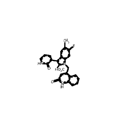 Cc1cc2c(-c3ccc[nH]c3=O)c(C(=O)O)n(Cc3cc(=O)[nH]c4ccccc34)c2cc1F